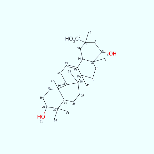 CC1(C(=O)O)CC(O)C2(C)CCC3(C)C(=CCC4C5(C)CCC(O)C(C)(C)C5CCC43C)C2C1